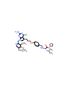 COc1c(C)cnc(Cn2cc(CCCOc3ccc(CN[C@@H](CC(C)C)C(=O)OC4CCCC4)cc3)c3c(Cl)nc(N)nc32)c1C